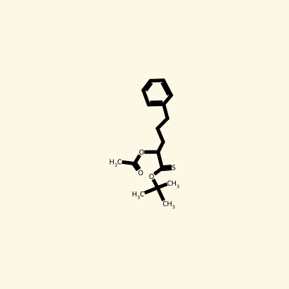 CC(=O)OC(CCCc1ccccc1)C(=S)OC(C)(C)C